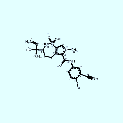 C=CC(C)(O)C1CCc2c(cn(C)c2C(=O)Nc2ccc(F)c(C#N)c2)S(=O)(=O)N1